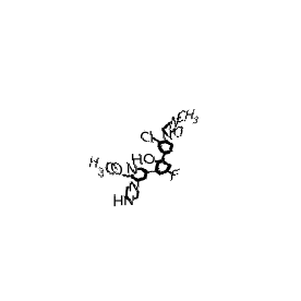 COCc1ncc(-c2cc(F)cc(-c3ccc(N4CCN(C)C4=O)c(Cl)c3)c2O)cc1N1CCNCC1